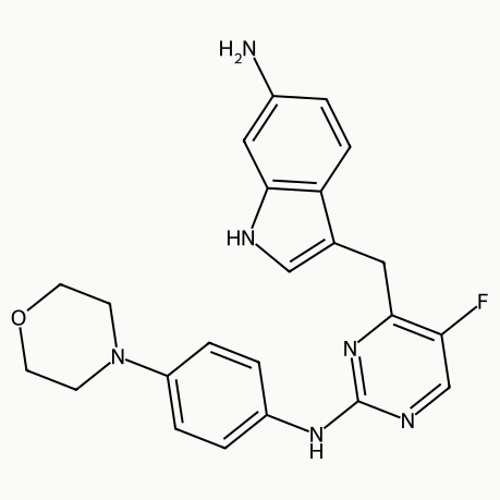 Nc1ccc2c(Cc3nc(Nc4ccc(N5CCOCC5)cc4)ncc3F)c[nH]c2c1